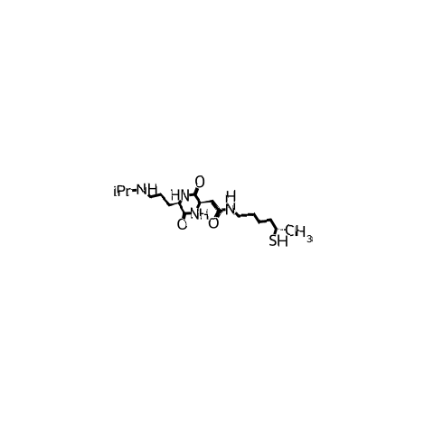 CC(C)NCCC[C@H]1NC(=O)[C@@H](CC(=O)NCCCC[C@H](C)S)NC1=O